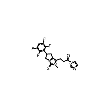 Cn1c(CCC(=O)n2ccnc2)c2n(c1=S)CC(c1c(F)c(F)cc(F)c1F)C2